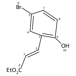 CCOC(=O)C=Cc1cc(Br)ccc1O